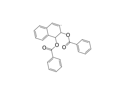 O=C(OC1[C]=Cc2ccccc2C1OC(=O)c1ccccc1)c1ccccc1